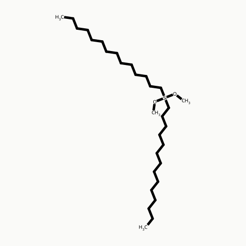 CCCCCCCCCCCCCC[Si](CCCCCCCCCCCCCC)(OC)OC